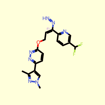 Cc1nn(C)cc1-c1ccc(OC/C=C(/N=N)c2ccc(C(F)F)cn2)nn1